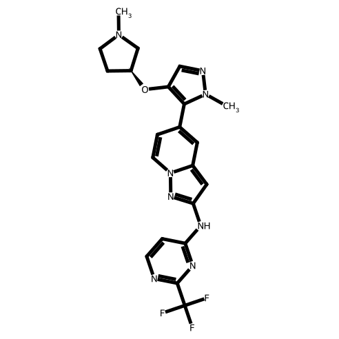 CN1CC[C@H](Oc2cnn(C)c2-c2ccn3nc(Nc4ccnc(C(F)(F)F)n4)cc3c2)C1